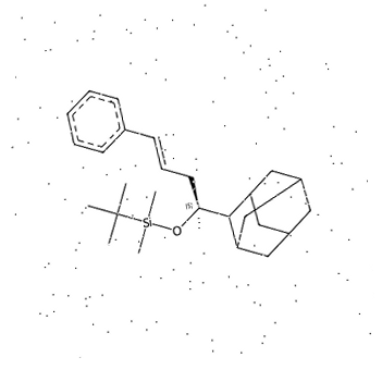 CC(C)(C)[Si](C)(C)O[C@@H](CC=Cc1ccccc1)C1C2CC3CC(C2)CC1C3